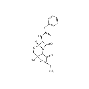 CC1(O)CS[C@@H]2C(NC(=O)Cc3ccccc3)C(=O)N2C1C(=O)OCC(Cl)(Cl)Cl